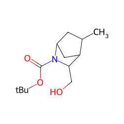 CC1CC2CC1C(CO)N2C(=O)OC(C)(C)C